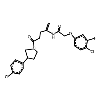 C=C(CCC(=O)N1CCC(c2ccc(Cl)cc2)C1)NC(=O)COc1ccc(Cl)c(F)c1